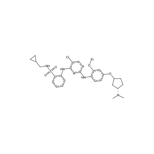 CCOc1cc(OC2CC[C@H](N(C)C)C2)ccc1Nc1ncc(Cl)c(Nc2ccccc2S(=O)(=O)NCC2CC2)n1